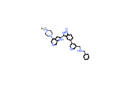 CN1CCN(c2cncc3[nH]c(-c4n[nH]c5ccc(-c6cncc(CNCc7ccccc7)c6)cc45)cc23)CC1